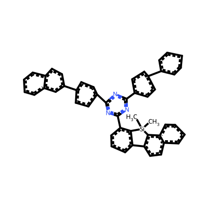 C[Si]1(C)c2c(-c3nc(-c4ccc(-c5ccccc5)cc4)nc(-c4ccc(-c5ccc6ccccc6c5)cc4)n3)cccc2-c2ccc3ccccc3c21